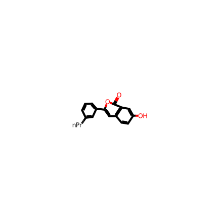 CCCc1cccc(-c2cc3ccc(O)cc3c(=O)o2)c1